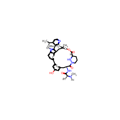 CCn1c(-c2cnccc2[C@H](C)OC)c2c3cc(ccc31)-c1cc(O)cc(c1)C[C@H](NC(=O)[C@H](C(C)C)N(C)C(C)=O)C(=O)N1CCC[C@H](N1)C(=O)OCC(C)(C)C2